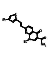 CCn1cc(C(N)=O)c(=O)c2ccc(C=Cc3nc(C(C)C)cs3)nc21